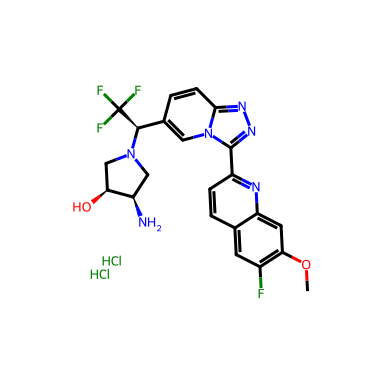 COc1cc2nc(-c3nnc4ccc([C@@H](N5C[C@@H](N)[C@@H](O)C5)C(F)(F)F)cn34)ccc2cc1F.Cl.Cl